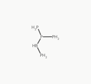 PBP(P)P